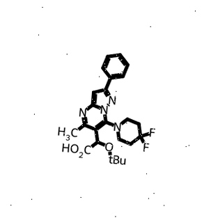 Cc1nc2cc(-c3ccccc3)nn2c(N2CCC(F)(F)CC2)c1C(OC(C)(C)C)C(=O)O